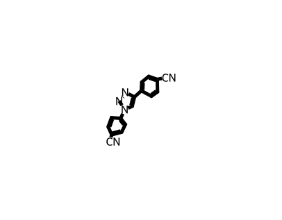 N#Cc1ccc(-c2cn(-c3ccc(C#N)cc3)nn2)cc1